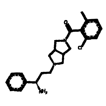 Cc1cccc(Cl)c1C(=O)N1CC2CN(CC[C@H](N)c3ccccc3)CC2C1